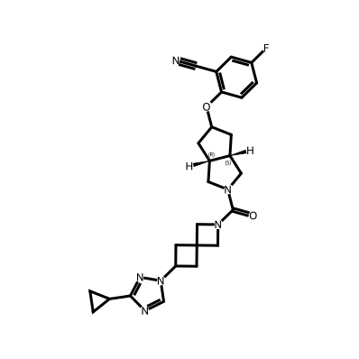 N#Cc1cc(F)ccc1OC1C[C@@H]2CN(C(=O)N3CC4(CC(n5cnc(C6CC6)n5)C4)C3)C[C@@H]2C1